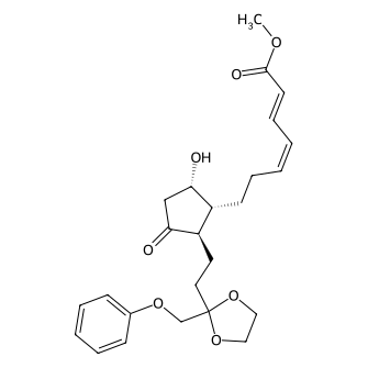 COC(=O)C=C/C=C\CC[C@H]1[C@@H](O)CC(=O)[C@@H]1CCC1(COc2ccccc2)OCCO1